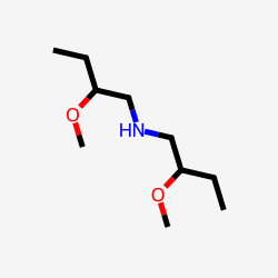 CCC(CNCC(CC)OC)OC